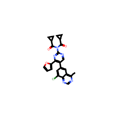 Cc1ncnc2c(Cl)cc(-c3cnc(N(C(=O)C4CC4)C(=O)C4CC4)nc3-c3ccco3)cc12